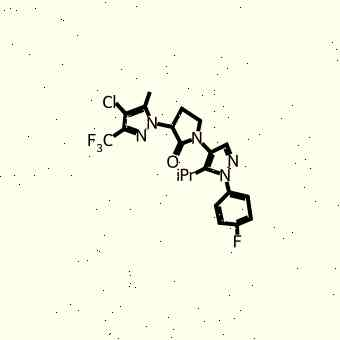 Cc1c(Cl)c(C(F)(F)F)nn1C1CCN(c2cnn(-c3ccc(F)cc3)c2C(C)C)C1=O